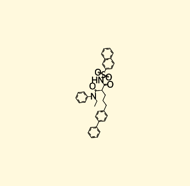 CCN(C(=O)C(CCCc1ccc(-c2ccccc2)cc1)C(=O)NS(=O)(=O)c1ccc2ccccc2c1)c1ccccc1